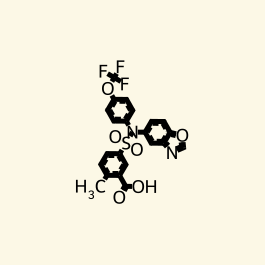 Cc1ccc(S(=O)(=O)N(c2ccc(OC(F)(F)F)cc2)c2ccc3ocnc3c2)cc1C(=O)O